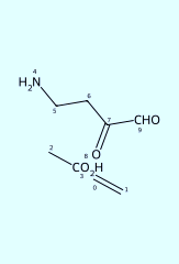 C=C.CC(=O)O.NCCC(=O)C=O